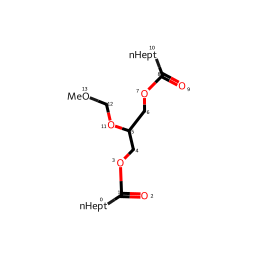 CCCCCCCC(=O)OCC(COC(=O)CCCCCCC)OCOC